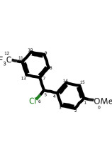 COc1ccc(C(Cl)c2cccc(C(F)(F)F)c2)cc1